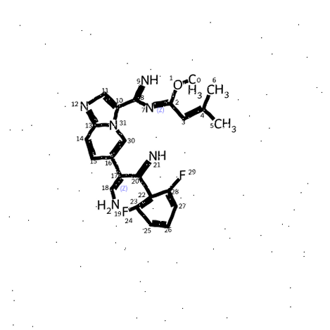 CO/C(C=C(C)C)=N\C(=N)c1cnc2ccc(/C(=C/N)C(=N)c3c(F)cccc3F)cn12